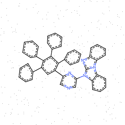 c1ccc(-c2cc(-c3cncc(-n4c5ccccc5n5c6ccccc6nc45)n3)c(-c3ccccc3)c(-c3ccccc3)c2-c2ccccc2)cc1